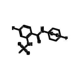 CS(=O)(=O)Nc1cc(F)ccc1C(=O)NC12CCC(F)(CC1)CC2